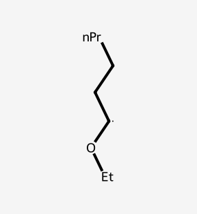 CCCCC[CH]OCC